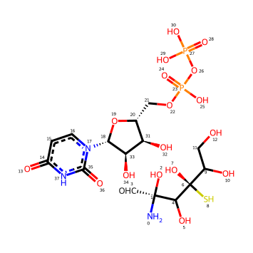 N[C@](O)(C=O)C(O)[C@@](O)(S)C(O)CO.O=c1ccn([C@@H]2O[C@H](COP(=O)(O)OP(=O)(O)O)[C@@H](O)[C@H]2O)c(=O)[nH]1